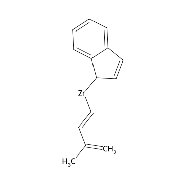 C=C(C)C=[CH][Zr][CH]1C=Cc2ccccc21